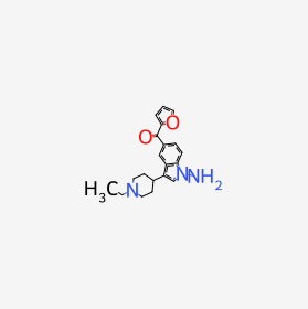 CCN1CCC(c2cn(N)c3ccc(C(=O)c4ccco4)cc23)CC1